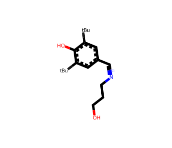 CC(C)(C)c1cc(/C=N\CCCO)cc(C(C)(C)C)c1O